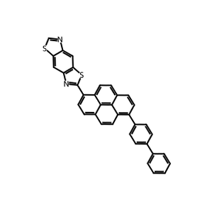 c1ccc(-c2ccc(-c3ccc4ccc5c(-c6nc7cc8scnc8cc7s6)ccc6ccc3c4c65)cc2)cc1